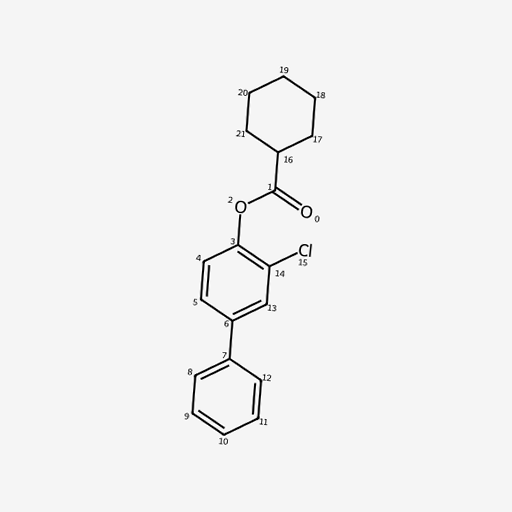 O=C(Oc1ccc(-c2ccccc2)cc1Cl)C1CCCCC1